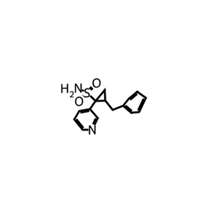 NS(=O)(=O)C1(c2cccnc2)CC1Cc1ccccc1